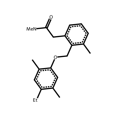 CCc1cc(C)c(OCc2c(C)cccc2CC(=O)NC)cc1C